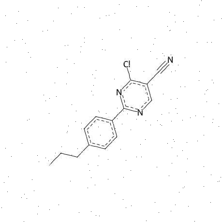 CCCc1ccc(-c2ncc(C#N)c(Cl)n2)cc1